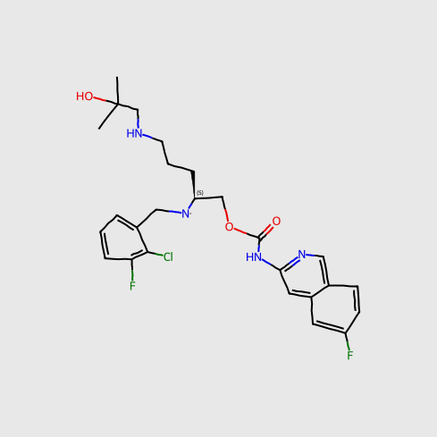 CC(C)(O)CNCCC[C@@H](COC(=O)Nc1cc2cc(F)ccc2cn1)[N]Cc1cccc(F)c1Cl